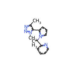 Cc1nnn(C)c1-c1cccn1C(C)c1ccccn1